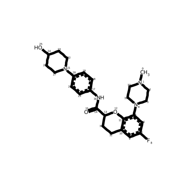 CN1CCN(c2cc(F)cc3c2OC(C(=O)Nc2ccc(N4CCC(O)CC4)cc2)CC3)CC1